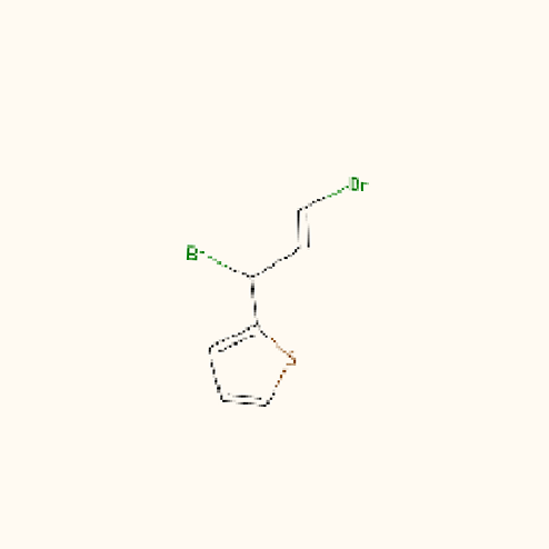 BrC=CC(Br)c1cccs1